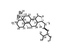 CC[C@H](/C=C/[C@@H](C)[C@H]1CCC2C3C[C@@H](Br)[C@@]4(Br)C[C@@H](C)CC[C@]4(C)C3CC[C@@]21C)C(C)C